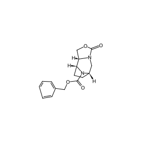 O=C1OC[C@H]2[C@H]3CC[C@@H](CN12)N3C(=O)OCc1ccccc1